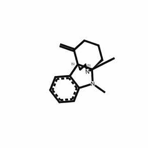 C=C1CCC[C@@]23N(C)CC[C@@]12c1ccccc1N3C